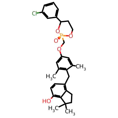 Cc1cc(OCP2(=O)OCCC(c3cccc(Cl)c3)O2)cc(C)c1Cc1ccc(O)c2c1CCC2(C)C